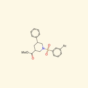 COC(=O)C1CC(c2ccccc2)CN(S(=O)(=O)c2cccc(C(C)=O)c2)C1